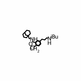 CCC(C)NCCCc1ccc(Cl)c(C(=O)NCC23CCCC(CCC2)C3)c1.[CH2]